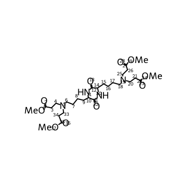 COC(=O)CCN(CCCCC1NC(=O)C(CCCCN(CCC(=O)OC)CCC(=O)OC)NC1=O)CCC(=O)OC